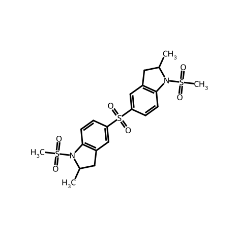 CC1Cc2cc(S(=O)(=O)c3ccc4c(c3)CC(C)N4S(C)(=O)=O)ccc2N1S(C)(=O)=O